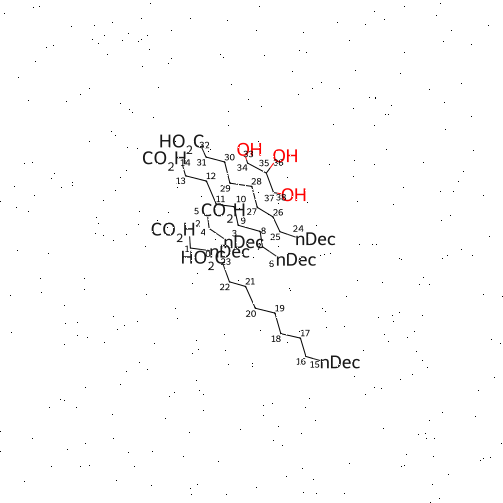 CCCCCCCCCCCC(=O)O.CCCCCCCCCCCC(=O)O.CCCCCCCCCCCCCCCCCC(=O)O.CCCCCCCCCCCCCCCCCC(=O)O.CCCCCCCCCCCCCCCCCC(=O)O.OCC(O)CO